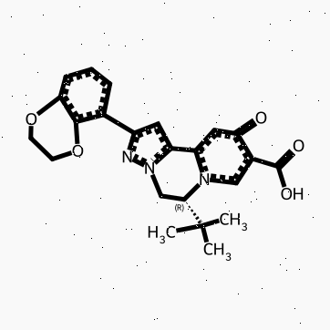 CC(C)(C)[C@@H]1Cn2nc(-c3cccc4c3OCCO4)cc2-c2cc(=O)c(C(=O)O)cn21